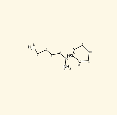 CCCCCC(N)[SiH]1CCCCO1